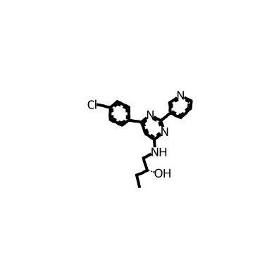 CC[C@@H](O)CNc1cc(-c2ccc(Cl)cc2)nc(-c2cccnc2)n1